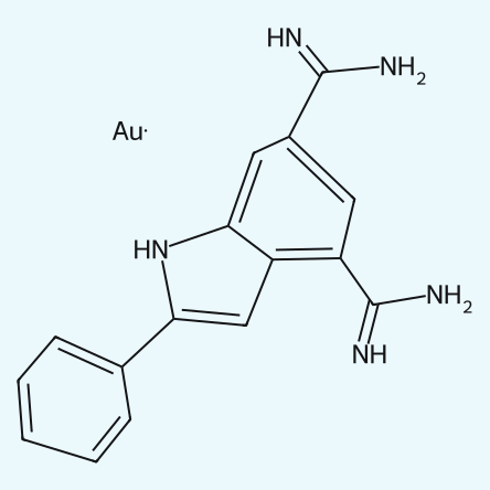 N=C(N)c1cc(C(=N)N)c2cc(-c3ccccc3)[nH]c2c1.[Au]